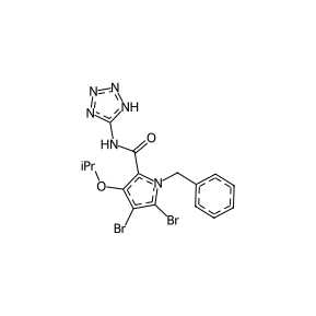 CC(C)Oc1c(Br)c(Br)n(Cc2ccccc2)c1C(=O)Nc1nnn[nH]1